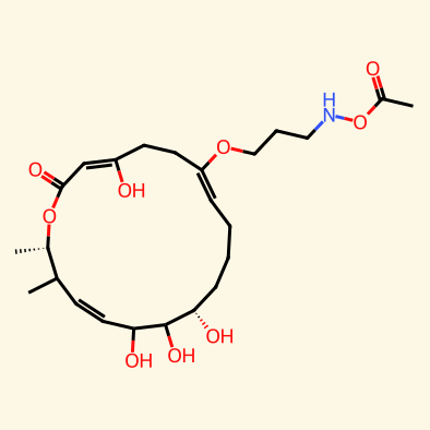 CC(=O)ONCCCO/C1=C\CCC[C@H](O)C(O)C(O)/C=C\C(C)[C@H](C)OC(=O)/C=C(\O)CC1